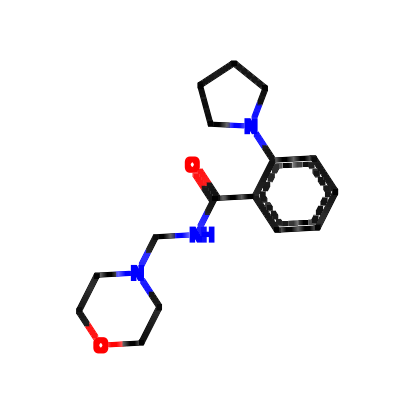 O=C(NCN1CCOCC1)c1ccccc1N1CCCC1